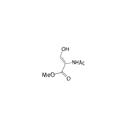 COC(=O)/C(=C/O)NC(C)=O